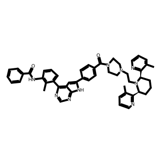 Cc1cccnc1[C@H]1CCC[C@@H](c2ncccc2C)N1CCN1CCN(C(=O)c2ccc(-c3cc4c(-c5cccc(NC(=O)c6ccccc6)c5C)ncnc4[nH]3)cc2)CC1